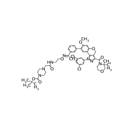 COc1cc2c(cc1-c1cccc(/C(C)=N/OCCNC(=O)CN3CCN(C(=O)OC(C)(C)C)CC3)c1)-c1c(c(C(=O)N3CCOCC3(C)C)nn1-c1cc(Cl)cc(Cl)c1)CO2